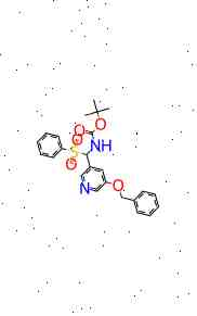 CC(C)(C)OC(=O)NC(c1cncc(OCc2ccccc2)c1)S(=O)(=O)c1ccccc1